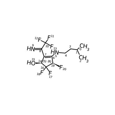 CC(C)CCNC1=C(C(=N)C(F)(F)F)[C@H](O)C(F)(F)[C@@H]1F